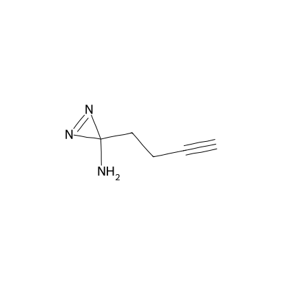 C#CCCC1(N)N=N1